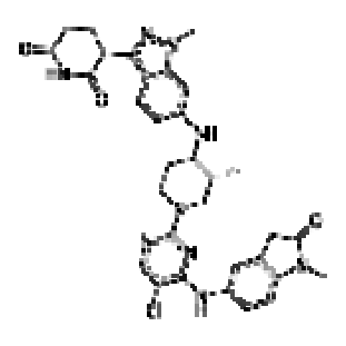 C[C@@H]1CN(c2ncc(Cl)c(Nc3ccc4c(c3)CC(=O)N4C)n2)CC[C@H]1Nc1ccc2c([C@@H]3CCC(=O)NC3=O)nn(C)c2c1